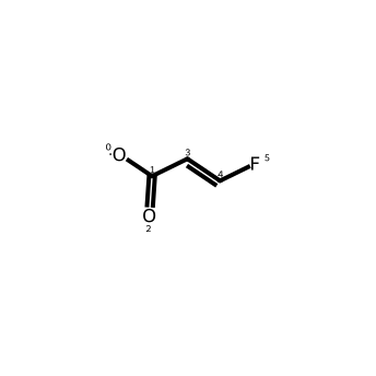 [O]C(=O)C=CF